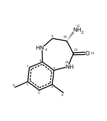 Cc1cc(C)c2c(c1)NC[C@H](N)C(=O)N2